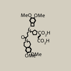 COc1cc2c(cc1OC)CCN(C(=O)CCN(C[C@H]1Cc3cc(OC)c(OC)cc31)C1CCCC1)CC2.O=C(O)/C=C/C(=O)O